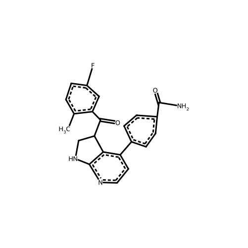 Cc1ccc(F)cc1C(=O)C1CNc2nccc(-c3ccc(C(N)=O)cc3)c21